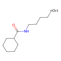 CCCCCCCCCCCCNC(=O)C1CCCCC1